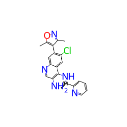 Cc1noc(C)c1-c1cc2ncc(N)c(N[C@H](C)c3ccccn3)c2cc1Cl